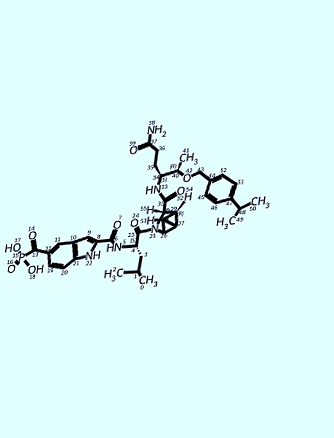 CC(C)C[C@H](NC(=O)c1cc2cc(C(=O)P(=O)(O)O)ccc2[nH]1)C(=O)N1C2C3[C@H]2[C@@H]3[C@H]1C(=O)N[C@@H](CCC(N)=O)[C@@H](C)OCc1ccc(C(C)C)cc1